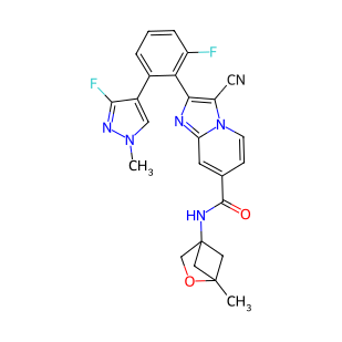 Cn1cc(-c2cccc(F)c2-c2nc3cc(C(=O)NC45COC(C)(C4)C5)ccn3c2C#N)c(F)n1